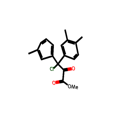 COC(=O)C(=O)C(Cl)(c1cccc(C)c1)c1ccc(C)c(C)c1